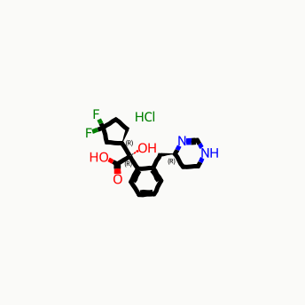 Cl.O=C(O)[C@](O)(c1ccccc1C[C@@H]1CCNC=N1)[C@@H]1CCC(F)(F)C1